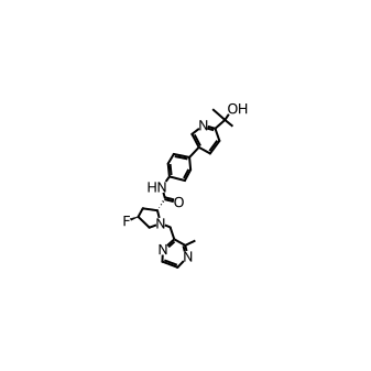 Cc1nccnc1CN1C[C@@H](F)C[C@@H]1C(=O)Nc1ccc(-c2ccc(C(C)(C)O)nc2)cc1